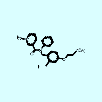 CCCCCCCCCCCCOc1ccc(CN(C(=O)c2ccc[n+](CC)c2)c2ccccc2)c(C)c1.[I-]